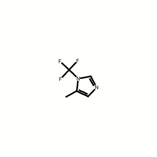 Cc1[c]n[c]n1C(F)(F)F